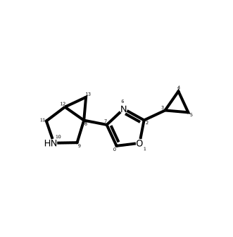 c1oc(C2CC2)nc1C12CNCC1C2